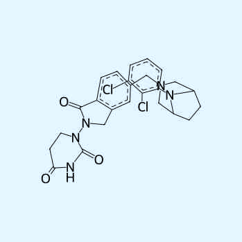 O=C1CCN(N2Cc3cc(CN4CC5CCC(C4)N5c4cccc(Cl)c4Cl)ccc3C2=O)C(=O)N1